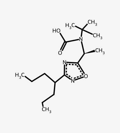 CCCC(CCC)c1noc([C@H](C)N(C(=O)O)C(C)(C)C)n1